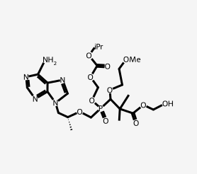 COCCOC(C(C)(C)C(=O)OCO)P(=O)(CO[C@H](C)Cn1cnc2c(N)ncnc21)OCOC(=O)OC(C)C